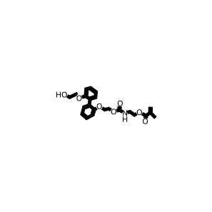 C=C(C)C(=O)OCCNC(=O)OCCOc1ccccc1-c1ccccc1OCCO